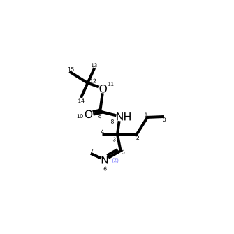 CCCC(C)(/C=N\C)NC(=O)OC(C)(C)C